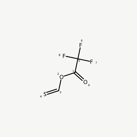 O=C(OC=S)C(F)(F)F